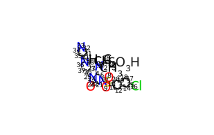 CN(C)CC1CN(S(=O)(=O)c2ccc3cc(Cl)ccc3c2)CC(=O)N1CC1CCN(c2ccncc2)CC1.CS(=O)(=O)O